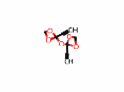 C#CC1(OC2(C#C)OCO2)OCO1